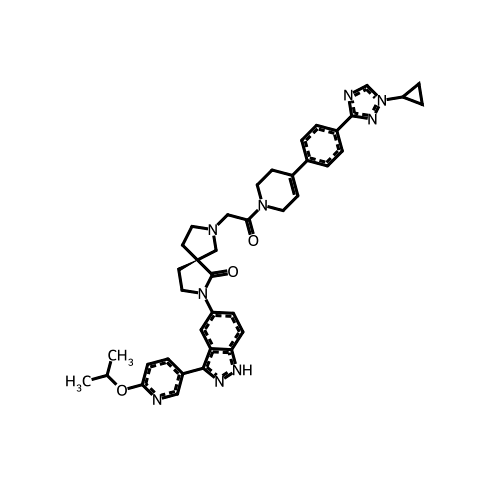 CC(C)Oc1ccc(-c2n[nH]c3ccc(N4CC[C@]5(CCN(CC(=O)N6CC=C(c7ccc(-c8ncn(C9CC9)n8)cc7)CC6)C5)C4=O)cc23)cn1